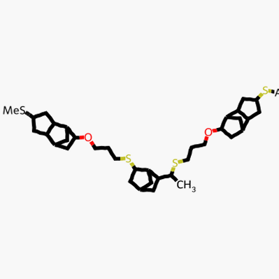 CSC1CC2C3CC(OCCCSC4CC5CC(C(C)SCCCOC6CC7CC6C6CC(SC(C)=O)CC76)C4C5)C(C3)C2C1